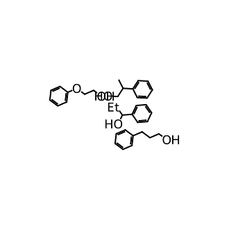 CC(CO)c1ccccc1.CCC(O)c1ccccc1.OCCCc1ccccc1.OCCOc1ccccc1